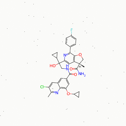 Cc1nc2c(OC3CC3)cc(C(=O)NCC(O)(c3cc4c(c(-c5ccc(F)cc5)n3)OC[C@]4(C)C(N)=O)C3CC3)cc2cc1Cl